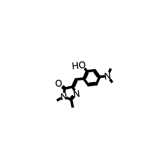 CC1=N/C(=C\c2ccc(N(C)C)cc2O)C(=O)N1C